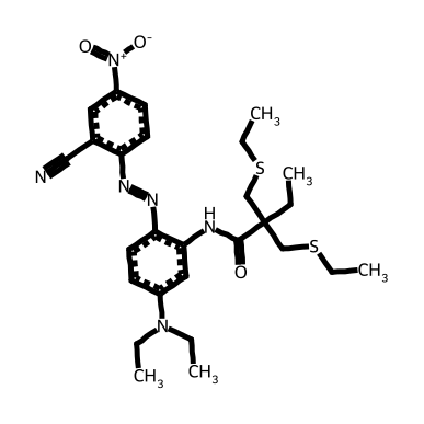 CCSCC(CC)(CSCC)C(=O)Nc1cc(N(CC)CC)ccc1N=Nc1ccc([N+](=O)[O-])cc1C#N